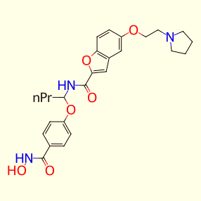 CCCC(NC(=O)c1cc2cc(OCCN3CCCC3)ccc2o1)Oc1ccc(C(=O)NO)cc1